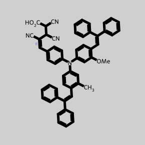 COc1cc(N(c2ccc(/C=C(/C#N)C(C#N)C(C#N)C(=O)O)cc2)c2ccc(C=C(c3ccccc3)c3ccccc3)c(C)c2)ccc1C=C(c1ccccc1)c1ccccc1